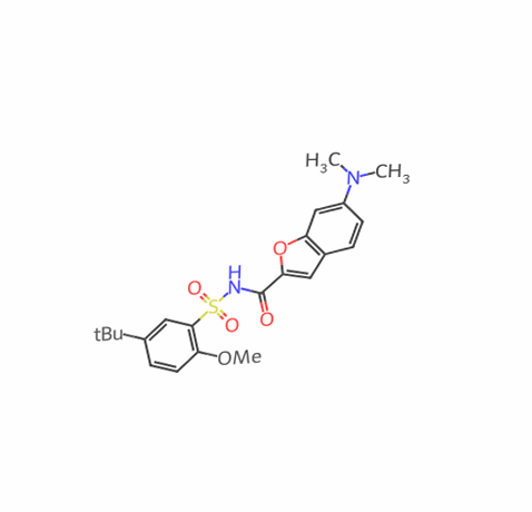 COc1ccc(C(C)(C)C)cc1S(=O)(=O)NC(=O)c1cc2ccc(N(C)C)cc2o1